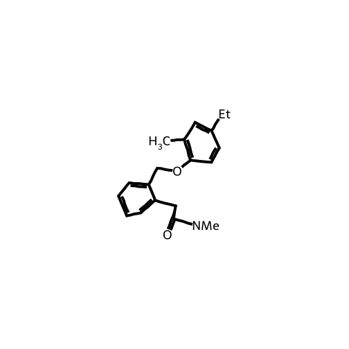 CCc1ccc(OCc2ccccc2CC(=O)NC)c(C)c1